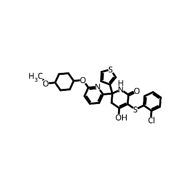 COC1CCC(Oc2cccc(C3(c4ccsc4)CC(O)=C(Sc4ccccc4Cl)C(=O)N3)n2)CC1